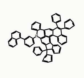 c1ccc(-c2c(-c3ccccc3)c3cc(-c4ccccc4N(c4cccc(-c5cccc6ccccc56)c4)c4ccc5c(c4)C(c4ccccc4)(c4ccccc4)c4ccccc4-5)ccc3c3ccccc23)cc1